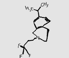 CC(C)c1ccc2c(c1)CN(CCC(F)(F)F)CC2